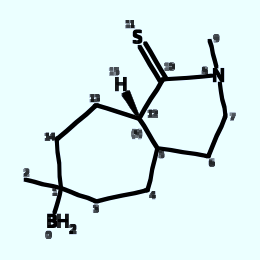 BC1(C)CCC2CCN(C)C(=S)[C@H]2CC1